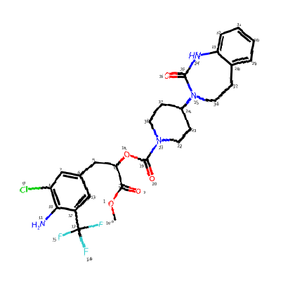 COC(=O)C(Cc1cc(Cl)c(N)c(C(F)(F)F)c1)OC(=O)N1CCC(N2CCc3ccccc3NC2=O)CC1